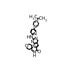 CC(C)N1CCN(c2ccc(Nc3ncc4cc5n(c4n3)C3(CCOCC3)CNC5=O)nc2)CC1